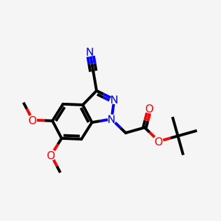 COc1cc2c(C#N)nn(CC(=O)OC(C)(C)C)c2cc1OC